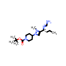 CCC[C@@H](/N=C/N)c1cn(C2CCN(C(=O)OC(C)(C)C)CC2)n1C